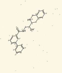 O=C(NCC(O)C1Cc2ccccc2CN1)c1cccc(-c2cncnc2)c1